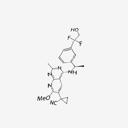 COc1nc2nc(C)nc(N[C@H](C)c3cccc(C(F)(F)CO)c3)c2cc1C1(C#N)CC1